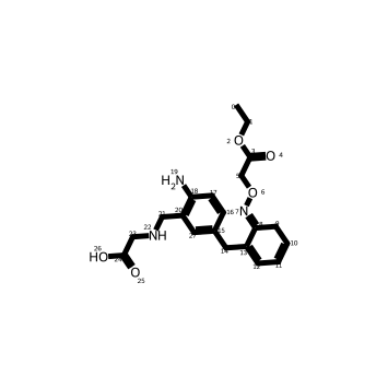 CCOC(=O)CON=C1CC=CC=C1Cc1ccc(N)c(CNCC(=O)O)c1